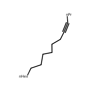 CCCC#CCCCCCCCCCCCC